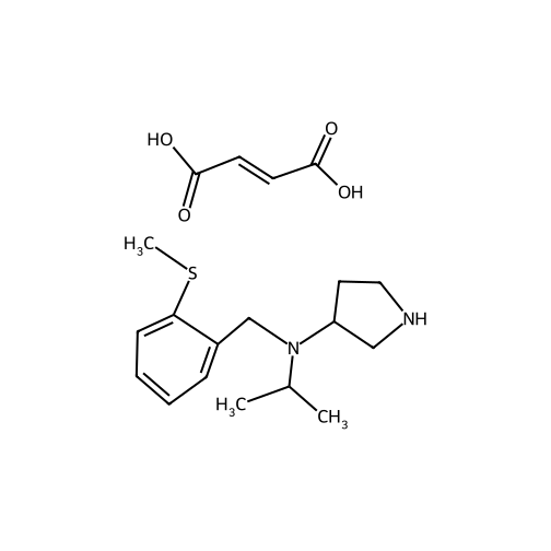 CSc1ccccc1CN(C(C)C)C1CCNC1.O=C(O)/C=C/C(=O)O